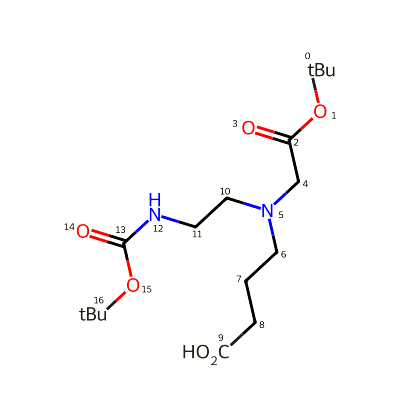 CC(C)(C)OC(=O)CN(CCCC(=O)O)CCNC(=O)OC(C)(C)C